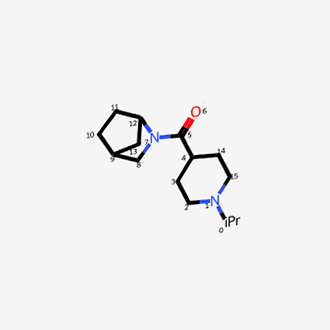 CC(C)N1CCC(C(=O)N2CC3CCC2C3)CC1